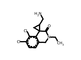 CCN1Cc2ccc(Cl)c(Cl)c2C2(CC2CN)C1=O